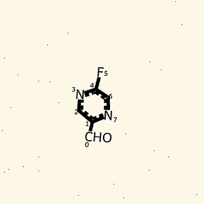 O=Cc1cnc(F)cn1